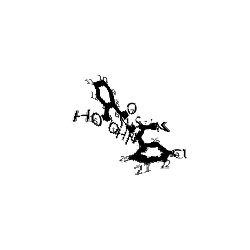 N#Cc1sc(NC(=O)C2CCCCC2C(=O)O)nc1-c1cccc(Cl)c1